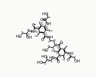 CC1=C(NC(=O)CO)C(I)C(C(=O)NCC(O)CO)C(I)=C1C(=O)N(CCO)CCNC(=O)c1c(I)c(NC(=O)CO)c(I)c(C(=O)NCC(O)CO)c1I